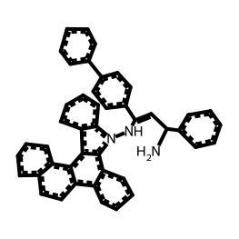 NC(/C=C(\Nn1c2ccccc2c2c3c4ccccc4ccc3c3ccccc3c21)c1ccc(-c2ccccc2)cc1)c1ccccc1